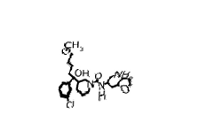 COCCCCC(O)(c1cccc(Cl)c1)C1CCCN(C(=O)NC(CN)CC2CCCO2)C1